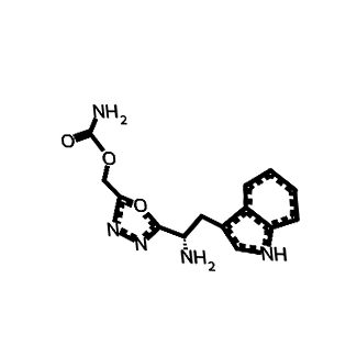 NC(=O)OCc1nnc([C@@H](N)Cc2c[nH]c3ccccc23)o1